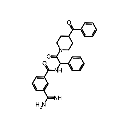 N=C(N)c1cccc(C(=O)NC(C(=O)N2CCC(C(=O)c3ccccc3)CC2)c2ccccc2)c1